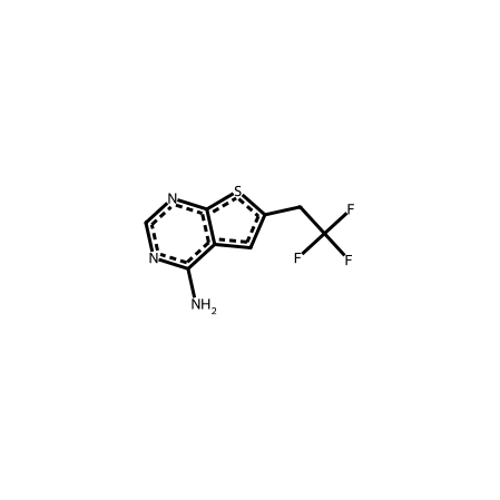 Nc1ncnc2sc(CC(F)(F)F)cc12